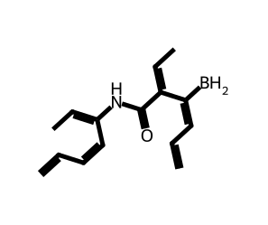 BC(=C/C=C)/C(=C\C)C(=O)NC(/C=C\C=C)=C/C